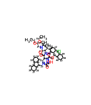 CCOC(CN(C(=O)C(Cc1ccc(Cl)cc1)NC(=O)C(CN(CC1c2ccccc2-c2ccccc21)C(=O)O)NC(=O)OCc1ccccc1)C(C)C)OCC